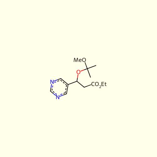 CCOC(=O)CC(OC(C)(C)OC)c1cncnc1